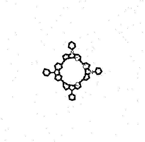 c1ccc(C2c3ccc4cc3c3cc(ccc32)c2ccc3c(c2)c2cc(ccc2n3-c2ccccc2)c2ccc3c(c2)c2cc(ccc2n3-c2ccccc2)c2ccc3c(c2)c2cc4ccc2C3c2ccccc2)cc1